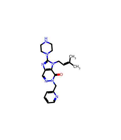 CC(C)=CCn1c(N2CCNCC2)nc2cnn(Cc3ccccn3)c(=O)c21